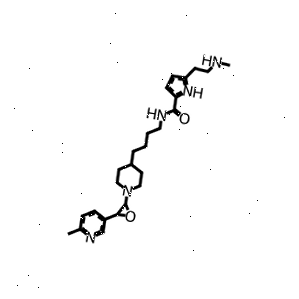 CNCCc1ccc(C(=O)NCCCCC2CCN(C3OC3c3ccc(C)nc3)CC2)[nH]1